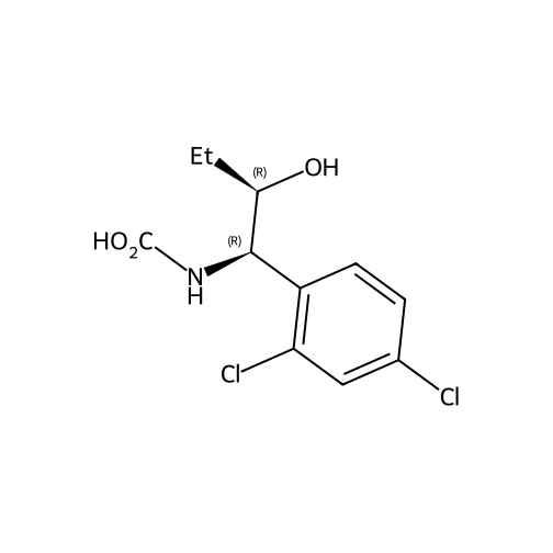 CC[C@@H](O)[C@H](NC(=O)O)c1ccc(Cl)cc1Cl